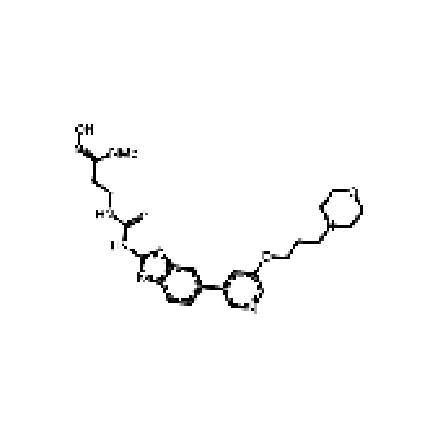 CN/C(CCNC(=O)Nc1nc2ccc(-c3cncc(OCCCN4CCOCC4)c3)cc2s1)=N\O